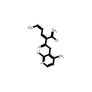 C=C(Cl)/C(=C\C=C/C)C(=O)Cc1c(C)ccnc1Cl